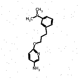 CN(C)c1cccc(CCCOc2ccc(N)cn2)c1